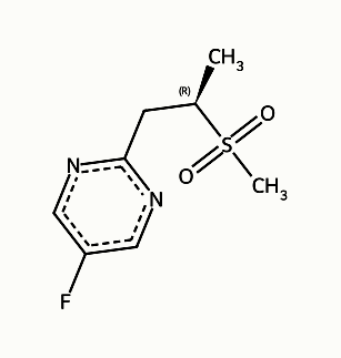 C[C@H](Cc1ncc(F)cn1)S(C)(=O)=O